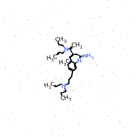 C=CCN(CCC)CCCC1=CCC2(C)C=C(C(=C)N(CCC)CCC)CC(N)=NC2=C1